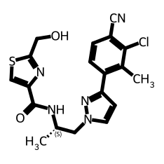 Cc1c(-c2ccn(C[C@H](C)NC(=O)c3csc(CO)n3)n2)ccc(C#N)c1Cl